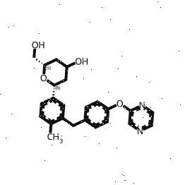 Cc1ccc([C@H]2CC(O)C[C@@H](CO)O2)cc1Cc1ccc(Oc2cnccn2)cc1